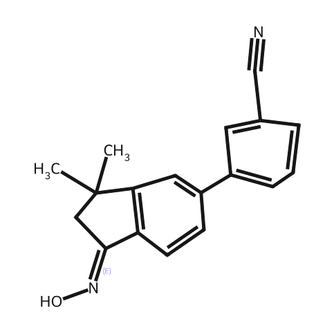 CC1(C)C/C(=N\O)c2ccc(-c3cccc(C#N)c3)cc21